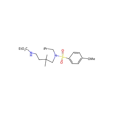 CCOC(=O)NCCC(C)(C)CN(CC(C)C)S(=O)(=O)c1ccc(OC)cc1